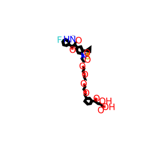 CNC(=O)c1c(-c2ccc(F)cc2)oc2cc(N(CCOCCOCCOCCOCc3cccc(C(=O)/C=C(\O)C(=O)O)c3)S(C)(=O)=O)c(C3CC3)cc12